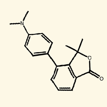 CN(C)c1ccc(-c2cccc3c2C(C)(C)OC3=O)cc1